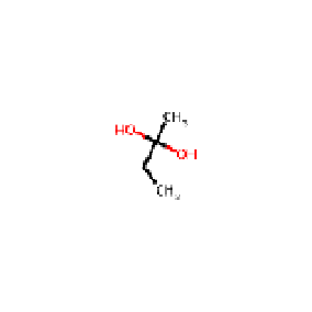 CCC(C)(O)O